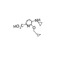 O=C(O)c1ccc(NC2CC2)c(OCC2CC2)n1